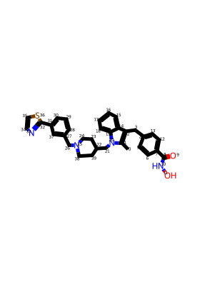 Cc1c(Cc2ccc(C(=O)NO)cc2)c2ccccc2n1CC1CCN(Cc2cccc(-c3nccs3)c2)CC1